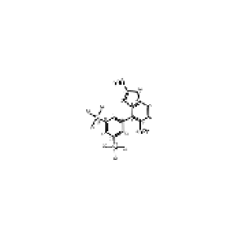 CCCCC1=Cc2c(ccc(CCC)c2-c2cc([Si](C)(C)C)cc([Si](C)(C)C)c2)[CH]1